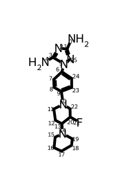 Nc1nc(N)n(-c2ccc(N3CCC(N4CCCCC4)C(F)C3)cc2)n1